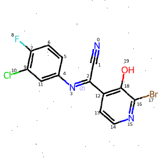 N#C/C(=N\c1ccc(F)c(Cl)c1)c1ccnc(Br)c1O